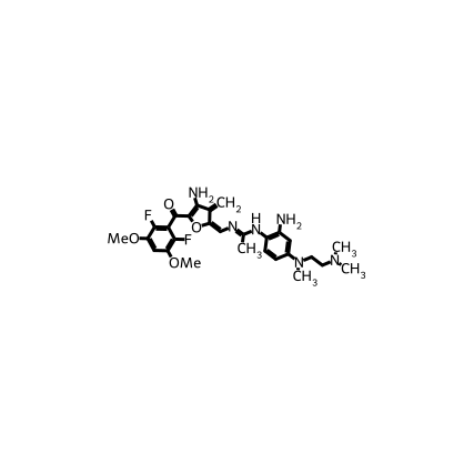 C=c1c(N)c(C(=O)c2c(F)c(OC)cc(OC)c2F)o/c1=C/N=C(\C)Nc1ccc(N(C)CCN(C)C)cc1N